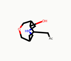 CC(=O)CC1CC2CNCC(COC2)C1O